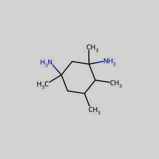 CC1CC(C)(N)CC(C)(N)C1C